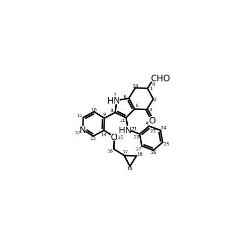 O=CC1CC(=O)c2c([nH]c(-c3ccncc3OCC3CC3)c2Nc2ccccc2)C1